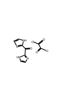 O=C(Cl)C(=O)Cl.O=C(c1ncc[nH]1)c1ncc[nH]1